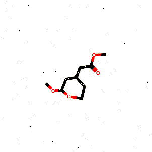 COC(=O)CC1CCOC(OC)C1